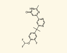 Cc1nc(-c2cc(C(C)(C)c3ccc(OC(F)F)c(F)c3)ncn2)cc(=O)[nH]1